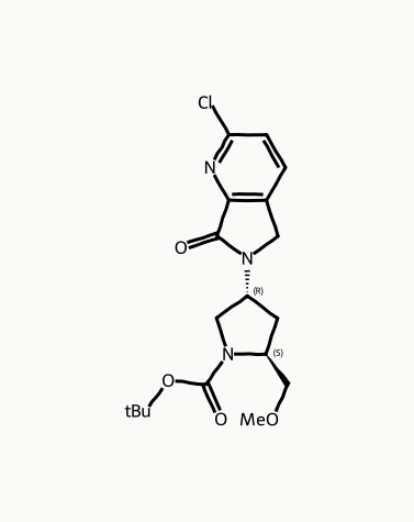 COC[C@@H]1C[C@@H](N2Cc3ccc(Cl)nc3C2=O)CN1C(=O)OC(C)(C)C